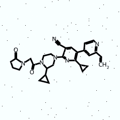 C=Cc1cc(-c2cc(C#N)c(N3CCN(C(=O)CN4CCCC4=O)C(C4CC4)C3)nc2C2CC2)ccn1